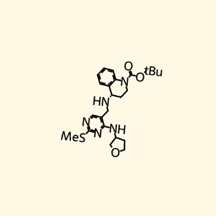 CSc1ncc(CN[C@H]2CCN(C(=O)OC(C)(C)C)c3ccccc32)c(NC2CCOC2)n1